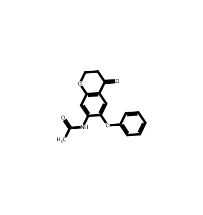 CC(=O)Nc1cc2c(cc1Oc1ccccc1)C(=O)CCO2